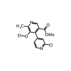 CCOc1c(C)ncc(C(=O)OC)c1-c1ccnc(Cl)c1